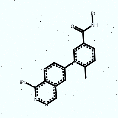 CCNC(=O)c1ccc(C)c(-c2ccc3c(C(C)C)nncc3c2)c1